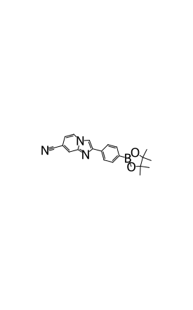 CC1(C)OB(c2ccc(-c3cn4ccc(C#N)cc4n3)cc2)OC1(C)C